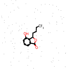 O=C1OC(CCCC(F)(F)F)c2c(O)cccc21